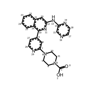 O=C(O)N1CCN(c2cc(-c3nc(Nc4cnccn4)cc4ccccc34)ccn2)CC1